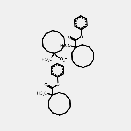 O=C(O)C1(C(=O)O)CCCCCCCCC1.O=C(O)C1(C(=O)Oc2ccccc2)CCCCCCCCC1.O=C(O)C1(C(=O)Oc2ccccc2)CCCCCCCCC1